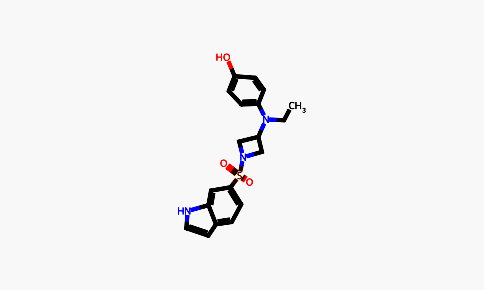 CCN(c1ccc(O)cc1)C1CN(S(=O)(=O)c2ccc3cc[nH]c3c2)C1